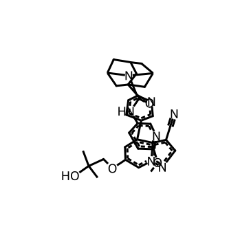 COc1ccc(NC(=O)C23CC4CC(C2)N(c2ccc(-c5cc(OCC(C)(C)O)cn6ncc(C#N)c56)cn2)C(C4)C3)cn1